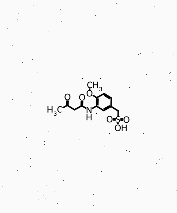 COc1ccc(CS(=O)(=O)O)cc1NC(=O)CC(C)=O